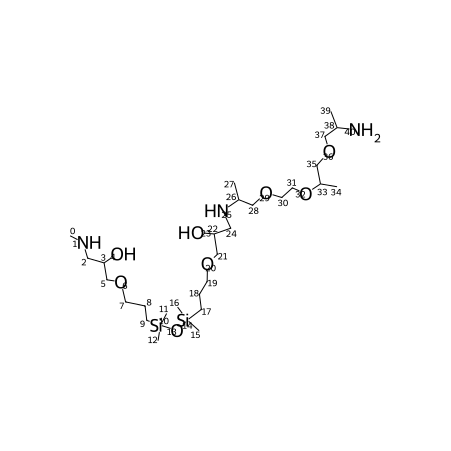 CNCC(O)COCCC[Si](C)(C)O[Si](C)(C)CCCOCC(O)CNC(C)COCCOC(C)COCC(C)N